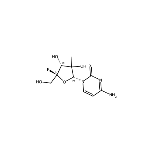 CC1(O)[C@@H](O)[C@@](F)(CO)O[C@H]1n1ccc(N)nc1=S